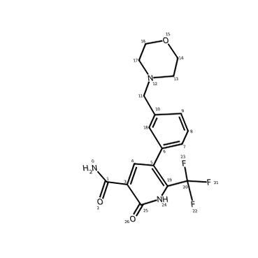 NC(=O)c1cc(-c2cccc(CN3CCOCC3)c2)c(C(F)(F)F)[nH]c1=O